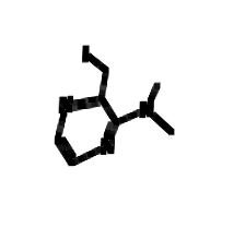 CN(C)c1nccnc1CI